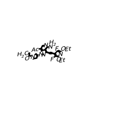 C=CC(=O)N1CC[C@H](n2nc(C#Cc3c(F)c(OCC)nc(OCC)c3F)c3c(N)ncc(C(C)=O)c32)C1